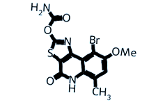 COc1cc(C)c2[nH]c(=O)c3sc(OC(N)=O)nc3c2c1Br